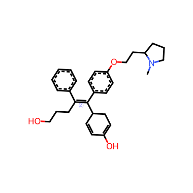 CN1CCCC1CCOc1ccc(/C(=C(/CCCO)c2ccccc2)C2C=CC(O)=CC2)cc1